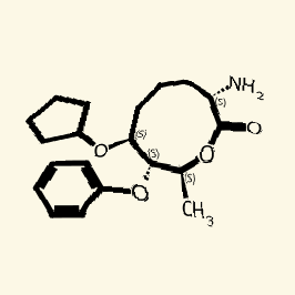 C[C@@H]1OC(=O)[C@@H](N)CCC[C@H](OC2CCCC2)[C@H]1Oc1ccccc1